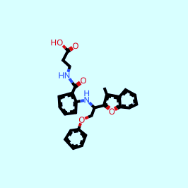 Cc1c(C(COc2ccccc2)Nc2ccccc2C(=O)NCCC(=O)O)oc2ccccc12